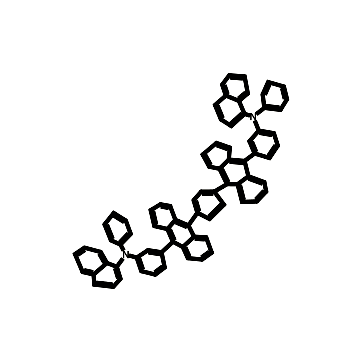 c1ccc(N(c2cccc(-c3c4ccccc4c(-c4ccc(-c5c6ccccc6c(-c6cccc(N(c7ccccc7)c7cccc8ccccc78)c6)c6ccccc56)cc4)c4ccccc34)c2)c2cccc3ccccc23)cc1